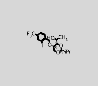 CC(C)[C@H]1OC[C@@H](OCc2ccc(C(F)(F)F)cc2I)[C@@H](C(C)O)O1